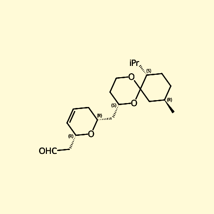 CC(C)[C@@H]1CC[C@@H](C)CC12OCC[C@@H](C[C@H]1CC=C[C@@H](CC=O)O1)O2